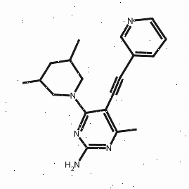 Cc1nc(N)nc(N2CC(C)CC(C)C2)c1C#Cc1cccnc1